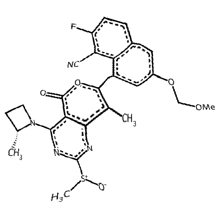 COCOc1cc(-c2oc(=O)c3c(N4CC[C@H]4C)nc([S+](C)[O-])nc3c2C)c2c(C#N)c(F)ccc2c1